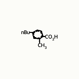 CCCCc1ccc(C(=O)O)c(C)c1